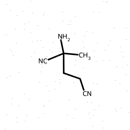 CC(N)(C#N)CCC#N